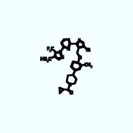 CCc1csc(-c2cccc(-n3ncc(C(=O)O)c3C(F)(F)F)n2)c1COc1ccc(C2CCN(C(=O)C3CC3)CC2)cc1C